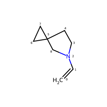 C=CN1CCC2(CC2)C1